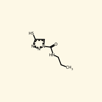 CCCNC(=O)n1cc(S)nn1